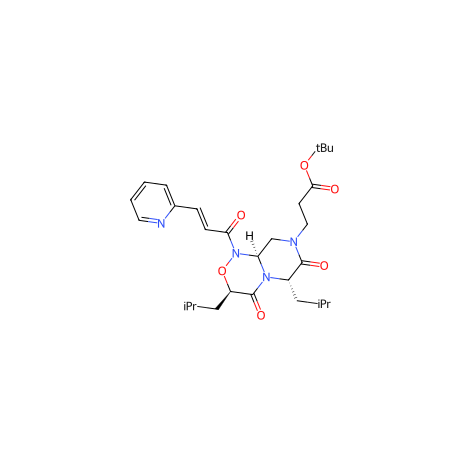 CC(C)C[C@H]1ON(C(=O)/C=C/c2ccccn2)[C@H]2CN(CCC(=O)OC(C)(C)C)C(=O)[C@H](CC(C)C)N2C1=O